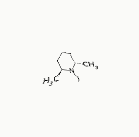 C[C@H]1CCC[C@H](C)N1I